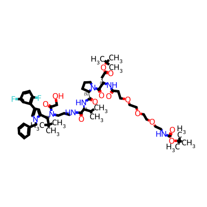 CC(C)[C@H](NC(=O)[C@@H]1CCCN1C(=O)[C@H](CC(=O)OC(C)(C)C)NC(=O)CCOCCOCCOCCNC(=O)OC(C)(C)C)C(=O)NCCCN(C(=O)CO)[C@@H](c1cc(-c2cc(F)ccc2F)cn1Cc1ccccc1)C(C)(C)C